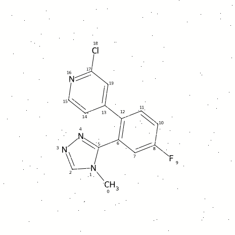 Cn1cnnc1-c1cc(F)ccc1-c1[c]cnc(Cl)c1